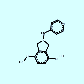 COc1ccc(Cl)c2c1CN(Nc1ccncc1)C2.Cl